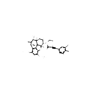 COc1cc(OC(C)=O)c2c3c1O[C@H]1[C@H](N(CC(C)C)C(=O)C#Cc4ccc(C)c(C)c4)CC[C@H]4[C@@H](C2)N(C)CC[C@@]341